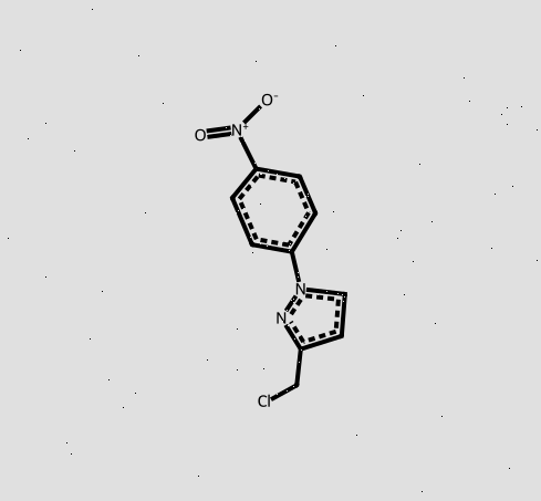 O=[N+]([O-])c1ccc(-n2ccc(CCl)n2)cc1